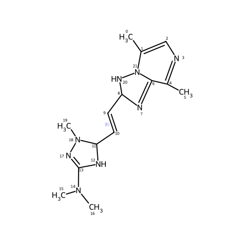 CC1=CN=C(C)C2=NC(/C=C/C3NC(N(C)C)=NN3C)NN12